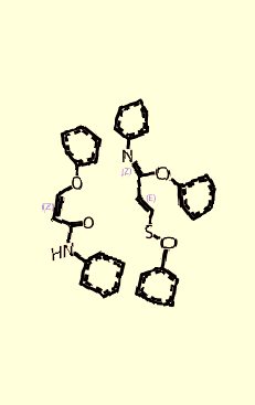 C(=C\C(=N\c1ccccc1)Oc1ccccc1)/SOc1ccccc1.O=C(/C=C\Oc1ccccc1)Nc1ccccc1